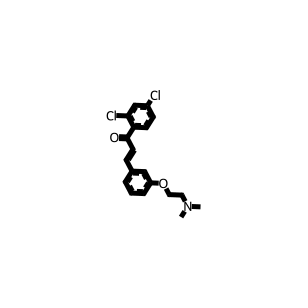 CN(C)CCOc1cccc(C=CC(=O)c2ccc(Cl)cc2Cl)c1